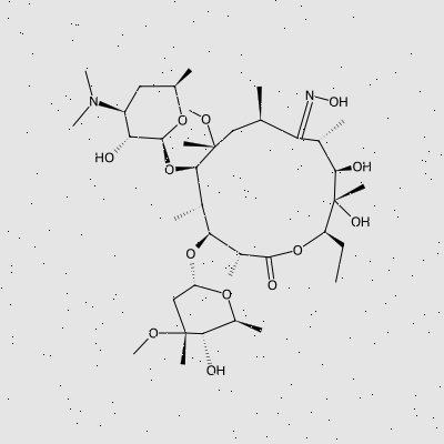 CC[C@H]1OC(=O)[C@H](C)[C@@H](O[C@H]2C[C@@](C)(OC)[C@@H](O)[C@H](C)O2)[C@H](C)[C@@H](O[C@@H]2O[C@H](C)C[C@H](N(C)C)[C@H]2O)[C@](C)(OC)C[C@@H](C)/C(=N/O)[C@H](C)[C@@H](O)[C@]1(C)O